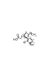 CCC(=O)O.COc1ccccc1.[Na+].[O-]c1ccccc1